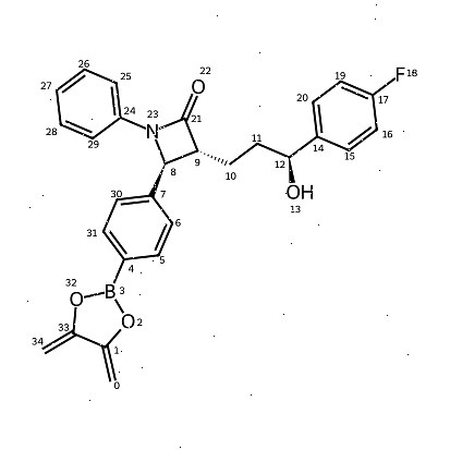 C=C1OB(c2ccc([C@@H]3[C@@H](CC[C@H](O)c4ccc(F)cc4)C(=O)N3c3ccccc3)cc2)OC1=C